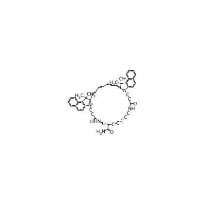 CC1(C)C2=[N+](CCC(=O)NCC(C(N)=O)CCCCCNC(=O)CCN3/C(=C/C=C/C=C/C=C/2)C(C)(C)c2c3ccc3ccccc23)c2ccc3ccccc3c21